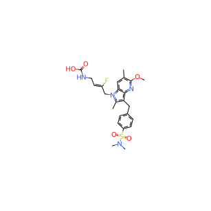 COc1nc2c(Cc3ccc(S(=O)(=O)N(C)C)cc3)c(C)n(C/C(F)=C/CNC(=O)O)c2cc1C